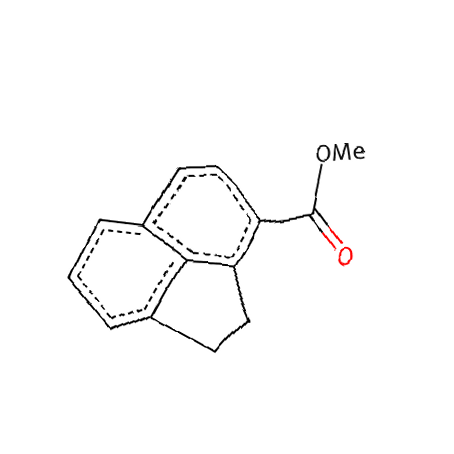 COC(=O)c1ccc2cccc3c2c1CC3